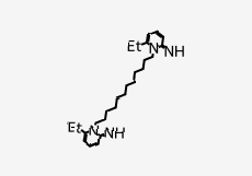 CCc1cccc(=N)n1CCCCCCCCCCCCn1c(CC)cccc1=N